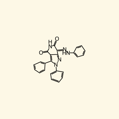 O=C1NC(=O)c2c(nn(-c3ccccc3)c2-c2ccccc2)/C1=N\Nc1ccccc1